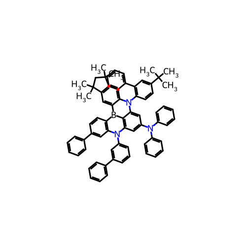 CC(C)(C)c1ccc(N2c3cc4c(cc3B3c5ccc(-c6ccccc6)cc5N(c5cccc(-c6ccccc6)c5)c5cc(N(c6ccccc6)c6ccccc6)cc2c53)C(C)(C)CC4(C)C)c(-c2ccccc2)c1